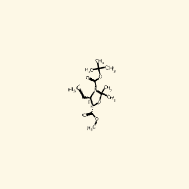 CC[C@@H]1[C@@H](C(=O)OC)OC(C)(C)N1C(=O)OC(C)(C)C